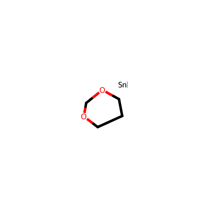 C1COCOC1.[Sn]